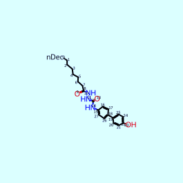 CCCCCCCCCCCCCCCCCC(=O)NNC(=O)Nc1ccc(-c2ccc(O)cc2)cc1